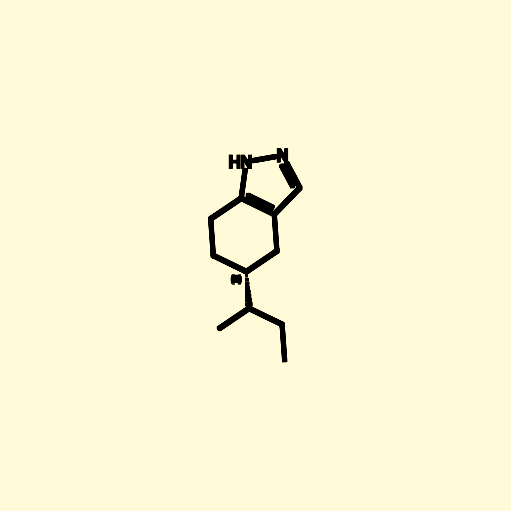 CCC(C)[C@@H]1CCc2[nH]ncc2C1